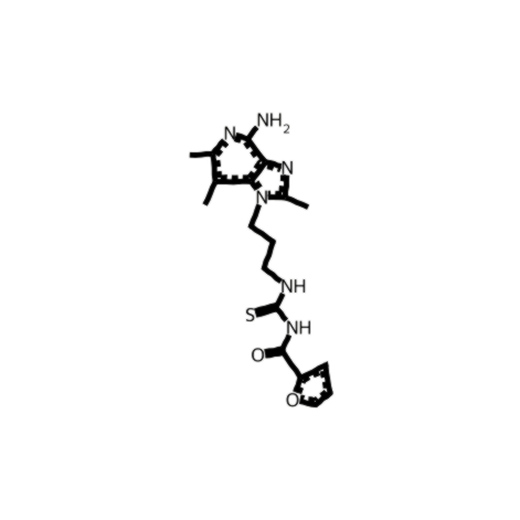 Cc1nc(N)c2nc(C)n(CCCNC(=S)NC(=O)c3ccco3)c2c1C